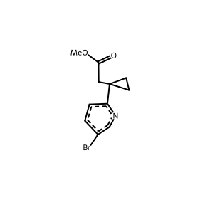 COC(=O)CC1(c2ccc(Br)cn2)CC1